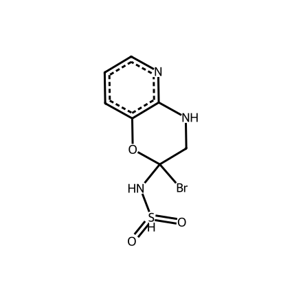 O=[SH](=O)NC1(Br)CNc2ncccc2O1